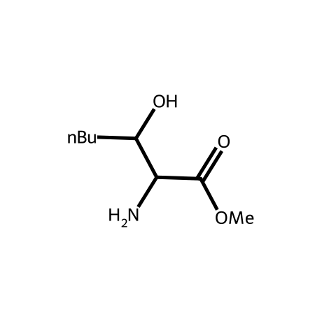 CCCCC(O)C(N)C(=O)OC